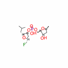 CC(C)C[C@H]1O[C@@H](CF)C[C@@H]1OP(=O)(O)OC[C@H]1O[C@@H](C)C[C@@H]1O